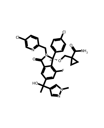 Cn1cc(C(C)(O)c2cc(F)c3c(c2)C(=O)N(Cc2ccc(Cl)cn2)[C@@]3(OCC2(C(N)=O)CC2)c2ccc(Cl)cc2)cn1